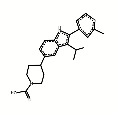 Cc1cc(-c2[nH]c3ccc(C4CCN(C(=O)O)CC4)cc3c2C(C)C)ccn1